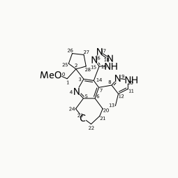 COCC1(c2nc3c(c(-c4n[nH]cc4C)c2-c2nnn[nH]2)CCCCC3)CCCC1